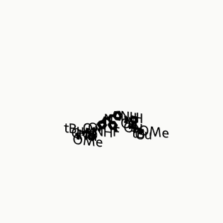 COC(=O)N[C@H](C(=O)N1CCC[C@H]1C(=O)Nc1ccc(CN(Cc2ccc(NC(=O)[C@@H]3CCCN3C(=O)[C@@H](NC(=O)OC)C(C)(C)C)cc2)c2ccc(F)cc2)cc1)C(C)(C)C